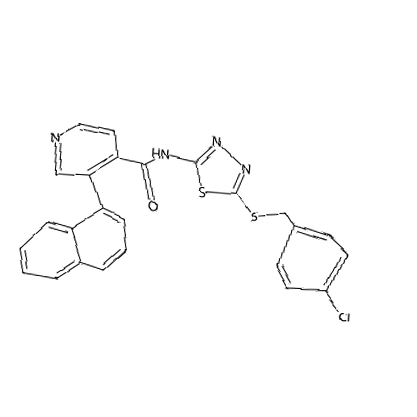 O=C(Nc1nnc(SCc2ccc(Cl)cc2)s1)c1ccncc1-c1cccc2ccccc12